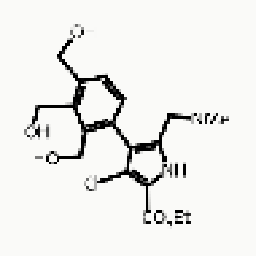 CCOC(=O)c1[nH]c(CNC)c(-c2ccc(CO)c(CO)c2CO)c1Cl